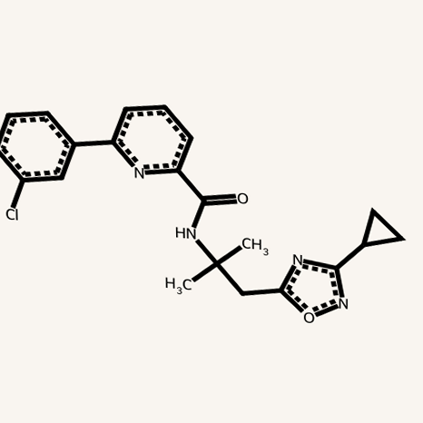 CC(C)(Cc1nc(C2CC2)no1)NC(=O)c1cccc(-c2cccc(Cl)c2)n1